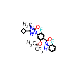 C[C@H](Oc1cc(-n2nc(C3CCC3)n(C)c2=O)c(F)cc1C(=O)Nc1ccccc1F)C(F)(F)F